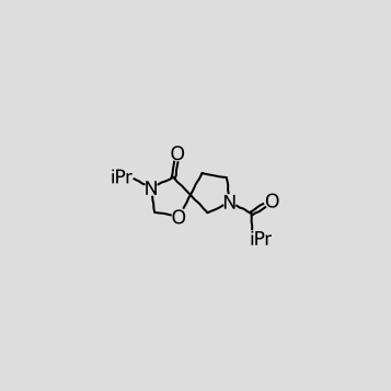 CC(C)C(=O)N1CCC2(C1)OCN(C(C)C)C2=O